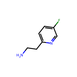 NCCc1ccc(F)[c]n1